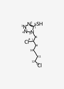 Sc1nnnn1CC(Cl)CCCCCl